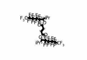 CC(C)C(OC(=O)/C=C/C(=O)OC(C(C)C)C(F)(F)C(F)(F)C(F)(F)C(F)(F)C(F)(F)F)C(F)(F)C(F)(F)C(F)(F)C(F)(F)C(F)(F)F